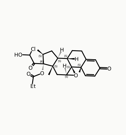 CCC(=O)O[C@]1(C(=O)C(O)Cl)[C@@H](C)C[C@H]2[C@@H]3CCC4=CC(=O)C=C[C@]4(C)[C@@]34O[C@H]4C[C@@]21C